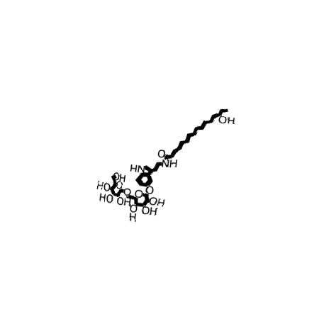 CCC(O)CCCCCCCCCCCCC(=O)NCCc1c[nH]c2ccc(OC3OC(COC4OC(CO)C(O)C(O)C4O)C(O)C(O)C3O)cc12